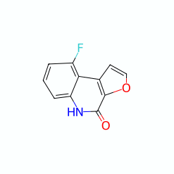 O=c1[nH]c2cccc(F)c2c2ccoc12